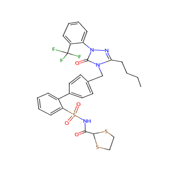 CCCCc1nn(-c2ccccc2C(F)(F)F)c(=O)n1Cc1ccc(-c2ccccc2S(=O)(=O)NC(=O)C2SCCS2)cc1